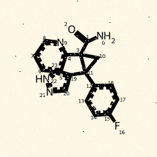 NC(=O)C1(c2ccccn2)CC1(c1ccc(F)cc1)c1cn[nH]c1